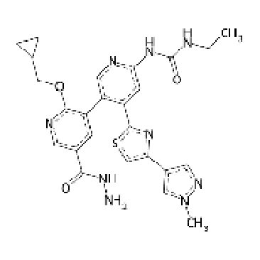 CCNC(=O)Nc1cc(-c2nc(-c3cnn(C)c3)cs2)c(-c2cc(C(=O)NN)cnc2OCC2CC2)cn1